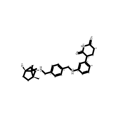 CC1(C)[C@@H]2CC[C@@]1(C)[C@@H](NCc1ccc(CNc3cccc(C4CCC(=O)NC4=O)c3)cc1)C2